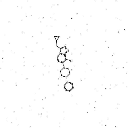 C[C@@H]1CN(c2ccn3c(CC4CC4)nnc3c2Cl)CC[C@@H]1c1ccccc1